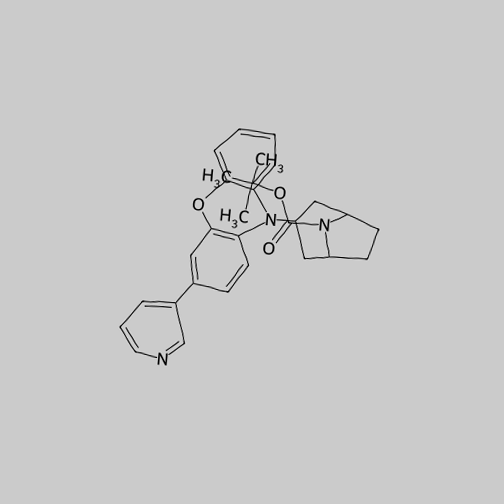 CC(C)(C)OC(=O)N1C2CCC1CC(N1c3ccccc3Oc3cc(-c4cccnc4)ccc31)C2